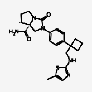 Cc1cnc(NCC2(c3ccc(N4C[C@@]5(C(N)=O)[CH]CCN5C4=O)cc3)CCC2)s1